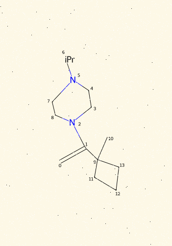 C=C(N1CCN(C(C)C)CC1)C1(C)CCC1